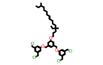 CCC(C)CCCC/C=C/CCCC(C)(CC)CCCOC1C=C(COc2cc(CCl)cc(CCl)c2)C=C(COc2cc(CCl)cc(CCl)c2)C1